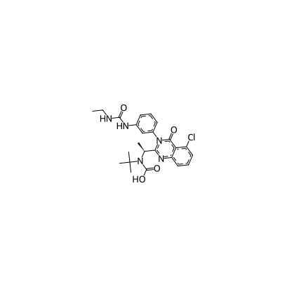 CCNC(=O)Nc1cccc(-n2c([C@H](C)N(C(=O)O)C(C)(C)C)nc3cccc(Cl)c3c2=O)c1